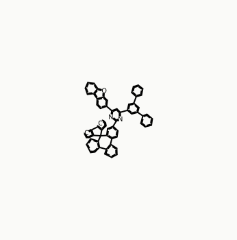 c1ccc(-c2cc(-c3ccccc3)cc(-c3cc(-c4ccc5c(c4)oc4ccccc45)nc(-c4ccc5c(c4)C4(c6ccccc6-c6ccccc6-5)c5ccccc5-c5ccccc54)n3)c2)cc1